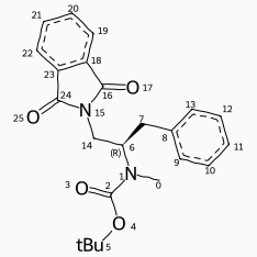 CN(C(=O)OC(C)(C)C)[C@H](Cc1ccccc1)CN1C(=O)c2ccccc2C1=O